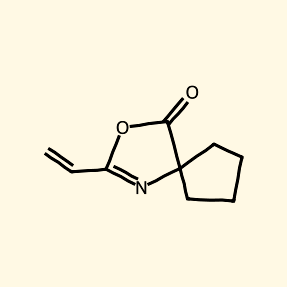 C=CC1=NC2(CCCC2)C(=O)O1